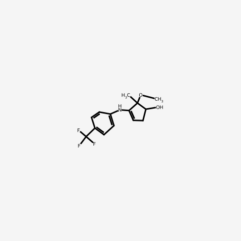 COC1(C)C(Nc2ccc(C(F)(F)F)cc2)=CCC1O